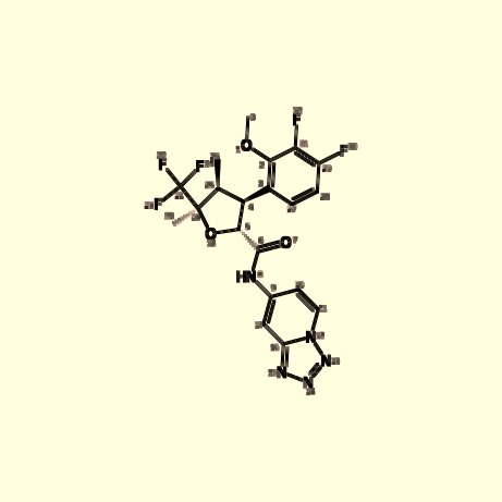 COc1c([C@H]2[C@H](C(=O)Nc3ccn4nnnc4c3)O[C@@](C)(C(F)(F)F)[C@H]2C)ccc(F)c1F